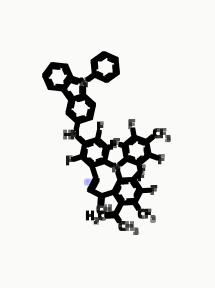 C=C1/C=C/c2c(F)c(Nc3ccc4c(c3)c3ccccc3n4-c3ccccc3)c(F)c(F)c2N(c2c(F)c(F)c(C(F)(F)F)c(F)c2F)c2c(F)c(F)c(C(F)(F)F)c(C(=C)C)c21